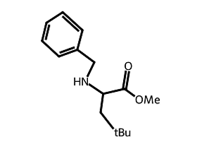 COC(=O)C(CC(C)(C)C)NCc1ccccc1